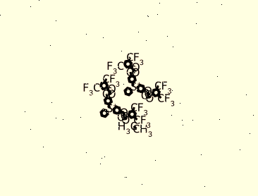 CC.O=S(=O)(Oc1ccc([S+](c2ccccc2)c2ccc(OS(=O)(=O)c3cc(C(F)(F)F)cc(C(F)(F)F)c3)cc2)cc1)c1cc(C(F)(F)F)cc(C(F)(F)F)c1.O=S(=O)(Oc1ccc([S+](c2ccccc2)c2ccc(OS(=O)(=O)c3cc(C(F)(F)F)cc(C(F)(F)F)c3)cc2)cc1)c1cc(C(F)(F)F)cc(C(F)(F)F)c1